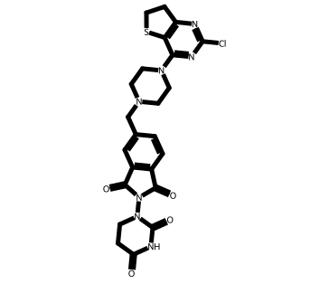 O=C1CCN(N2C(=O)c3ccc(CN4CCN(c5nc(Cl)nc6c5SCC6)CC4)cc3C2=O)C(=O)N1